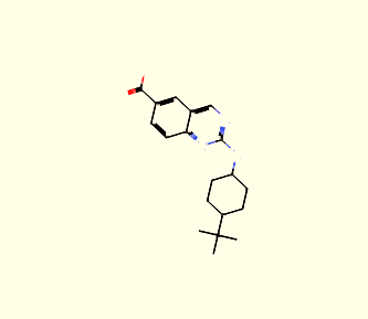 CC(C)(C)C1CCC(Nc2ncc3cc(C(=O)O)ccc3n2)CC1